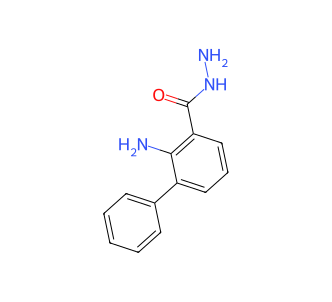 NNC(=O)c1cccc(-c2ccccc2)c1N